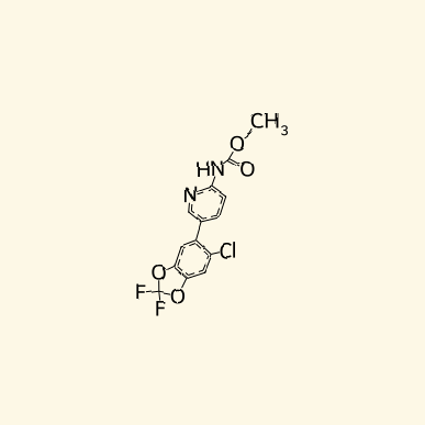 CCOC(=O)Nc1ccc(-c2cc3c(cc2Cl)OC(F)(F)O3)cn1